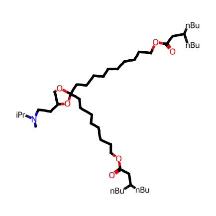 CCCCC(CCCC)CC(=O)OCCCCCCCCCCC1(CCCCCCCCOC(=O)CC(CCCC)CCCC)OCC(CCN(C)C(C)C)O1